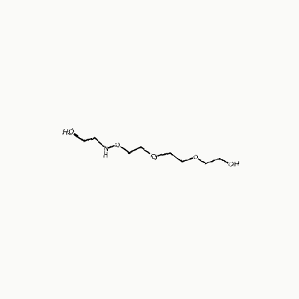 OCCNOCCOCCOCCO